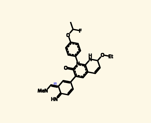 CCOC1C=Cc2cc(C3=C/C(=C/NC)C(=N)C=C3)c(=O)n(-c3ccc(OC(C)F)cc3)c2N1